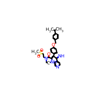 CC(C)c1ccc(COc2ccc(/C(C(=N)c3ccncc3)=C3/NCCN(CCS(C)(=O)=O)C3=O)cc2)cc1